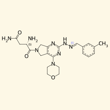 Cc1cccc(/C=N/Nc2nc3c(c(N4CCOCC4)n2)CN(C(=O)[C@@H](N)CC(N)=O)C3)c1